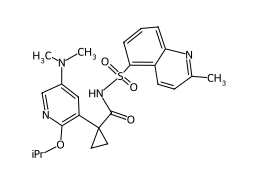 Cc1ccc2c(S(=O)(=O)NC(=O)C3(c4cc(N(C)C)cnc4OC(C)C)CC3)cccc2n1